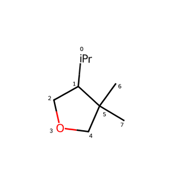 CC(C)C1COCC1(C)C